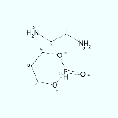 NCCN.O=[PH]1OCCCO1